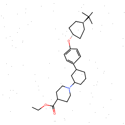 CCOC(=O)C1CCN(C2CCCC(c3ccc(O[C@H]4CC[C@H](C(C)(C)C)CC4)cc3)C2)CC1